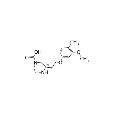 COc1cc(OCC[C@@H]2CN(C(=O)O)CCN2)ccc1C